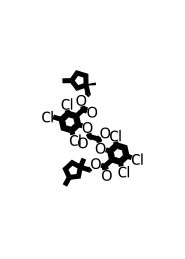 CC1CCC(C)(COC(=O)c2c(Cl)c(Cl)cc(Cl)c2OC(=O)C(=O)Oc2c(Cl)cc(Cl)c(Cl)c2C(=O)OC[C@@]2(C)CCC(C)C2)C1